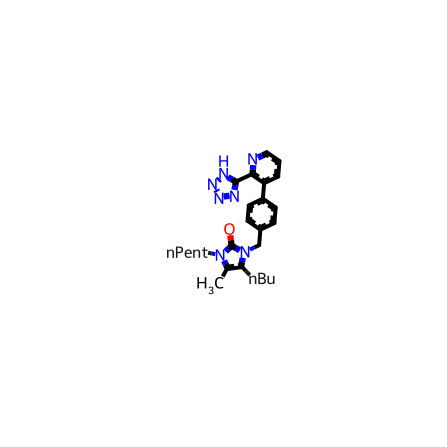 CCCCCn1c(C)c(CCCC)n(Cc2ccc(-c3cccnc3-c3nnn[nH]3)cc2)c1=O